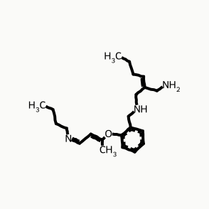 CCC/C=C(/CN)CNCc1ccccc1O/C(C)=C/C=N\CCCC